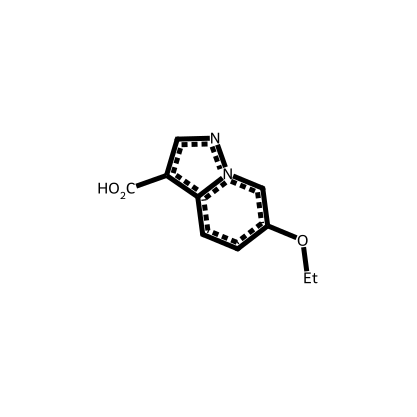 CCOc1ccc2c(C(=O)O)cnn2c1